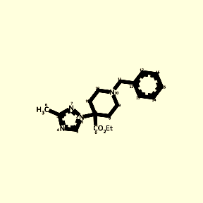 CCOC(=O)C1(n2cnc(C)n2)CCN(Cc2ccccc2)CC1